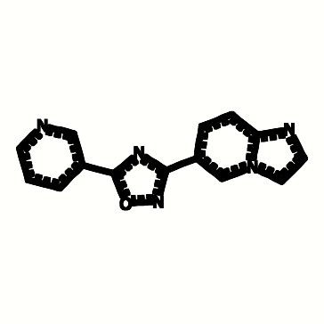 c1cncc(-c2nc(-c3ccc4nccn4c3)no2)c1